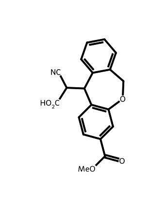 COC(=O)c1ccc2c(c1)OCc1ccccc1C2C(C#N)C(=O)O